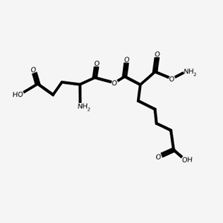 NOC(=O)C(CCCCC(=O)O)C(=O)OC(=O)C(N)CCC(=O)O